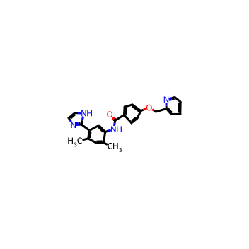 Cc1cc(C)c(-c2ncc[nH]2)cc1NC(=O)c1ccc(OCc2ccccn2)cc1